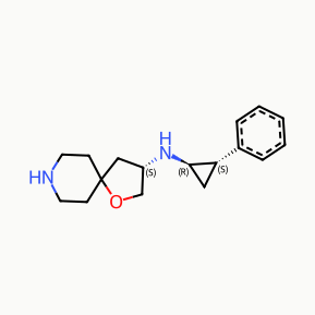 c1ccc([C@@H]2C[C@H]2N[C@@H]2COC3(CCNCC3)C2)cc1